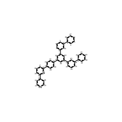 c1ccc(-c2cccc(-c3cc(-c4ccc(-c5cccc(-c6ccncc6)n5)cc4)cc(-c4cccc(-c5ccccc5)c4)c3)c2)cc1